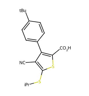 CC(C)Sc1sc(C(=O)O)c(-c2ccc(C(C)(C)C)cc2)c1C#N